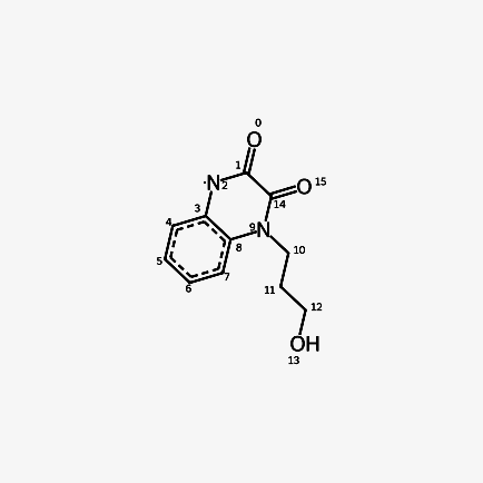 O=C1[N]c2ccccc2N(CCCO)C1=O